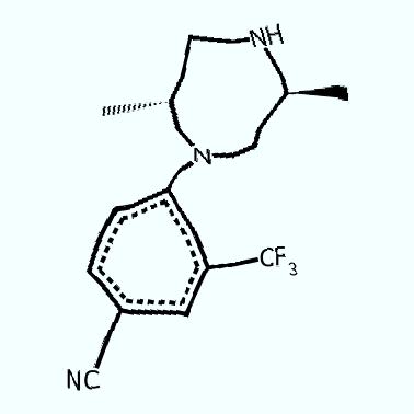 C[C@@H]1CN[C@@H](C)CN1c1ccc(C#N)cc1C(F)(F)F